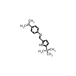 CN(C)c1ccc(/N=C/c2ccc([Si](C)(C)C)[nH]2)cc1